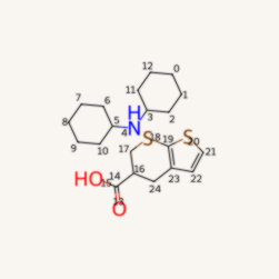 C1CCC(NC2CCCCC2)CC1.O=C(O)C1CSc2sccc2C1